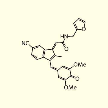 COC1=CC(=CC2=C(C)C(=CC(=O)NCc3ccco3)c3cc(C#N)ccc32)C=C(OC)C1=O